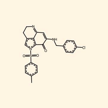 Cc1ccc(S(=O)(=O)n2cc3c4c2C(=O)C(NCc2ccc(Cl)cc2)=CC4=NCC3)cc1